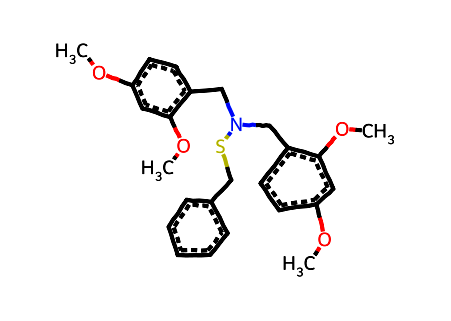 COc1ccc(CN(Cc2ccc(OC)cc2OC)SCc2ccccc2)c(OC)c1